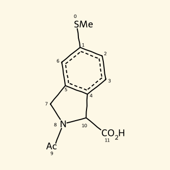 CSc1ccc2c(c1)CN(C(C)=O)C2C(=O)O